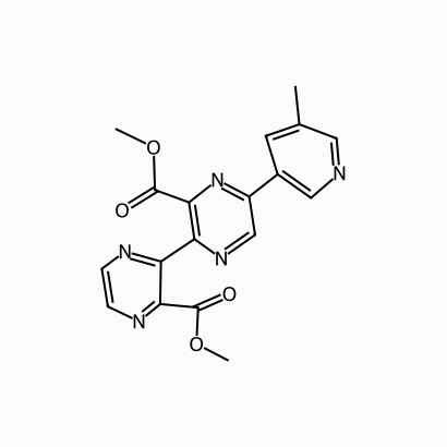 COC(=O)c1nccnc1-c1ncc(-c2cncc(C)c2)nc1C(=O)OC